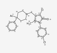 CC(=O)C1(c2ccccc2)CCN(Cc2c(Cl)c(=O)n(-c3ccc(Cl)cc3)n2C)CC1